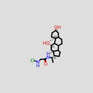 CC(NC(=O)CNCl)[C@H]1CCC2C3CCC4C[C@@H](O)CC[C@]4(C)C3[C@@H](O)C[C@@]21C